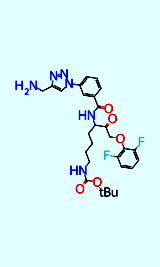 CC(C)(C)OC(=O)NCCCCC(NC(=O)c1cccc(-n2cc(CN)nn2)c1)C(=O)COc1c(F)cccc1F